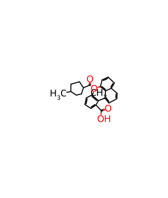 Cc1cccc(C(=O)O)c1-c1cccc2cccc(OC(=O)C3CCC(C)CC3)c12